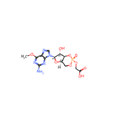 COc1nc(N)nc2c1ncn2[C@@H]1O[C@@H]2COP(=O)(OCC(=O)O)OC2[C@H]1O